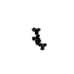 c1ccc(N(c2ccccc2)c2ccc(-c3ccc4ccc5c6c(ccc3c46)cc3c4ccc(-c6ccc7c(c6)c6ccccc6n7-c6ccccc6)cc4n(-c4ccccc4)c35)cc2)cc1